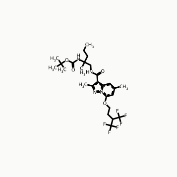 CCCC(C)(CNC(=O)c1c(C)nn2c(OCCC(C(F)(F)F)C(F)(F)F)cc(C)cc12)NC(=O)OC(C)(C)C